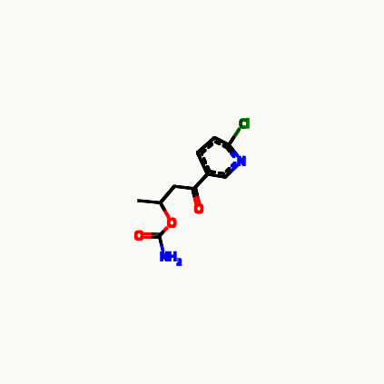 CC(CC(=O)c1ccc(Cl)nc1)OC(N)=O